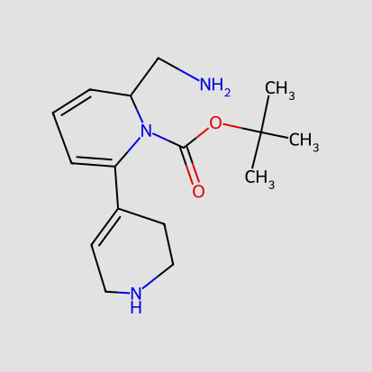 CC(C)(C)OC(=O)N1C(C2=CCNCC2)=CC=CC1CN